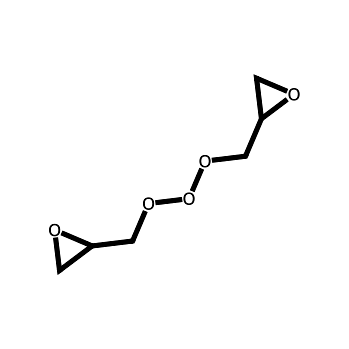 C(OOOCC1CO1)C1CO1